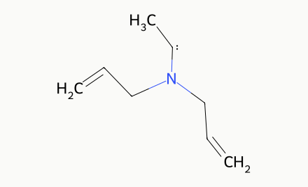 C=CCN([C]C)CC=C